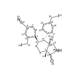 C[C@@]12CC[C@@H](c3ccc(C#N)cc3CI)[C@H](c3ccc(CI)cc3)[C@@H]1CNC2=O